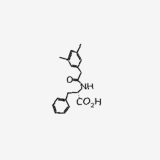 Cc1cc(C)cc(CC(=O)N[C@@H](Cc2ccccc2)C(=O)O)c1